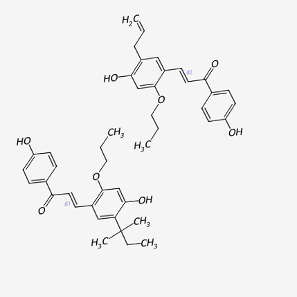 C=CCc1cc(/C=C/C(=O)c2ccc(O)cc2)c(OCCC)cc1O.CCCOc1cc(O)c(C(C)(C)CC)cc1/C=C/C(=O)c1ccc(O)cc1